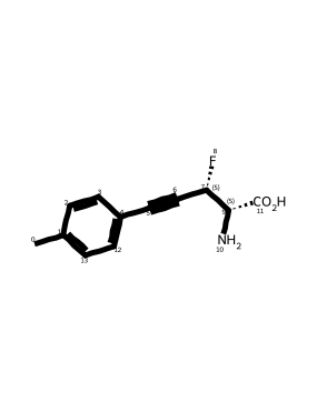 Cc1ccc(C#C[C@H](F)[C@@H](N)C(=O)O)cc1